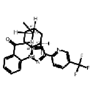 C[C@@H]1[C@@H]2CC[C@@H]([C@H](Oc3ccc(C(F)(F)F)cn3)C2)N1C(=O)c1ccccc1-n1nccn1